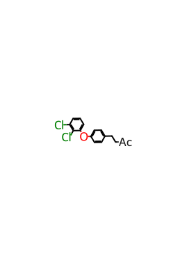 CC(=O)CCc1ccc(Oc2cccc(Cl)c2Cl)cc1